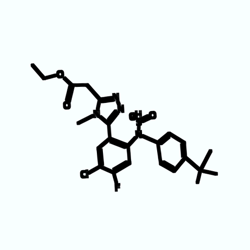 CCOC(=O)Cc1nnc(-c2cc(Cl)c(F)cc2N(c2ccc(C(C)(C)C)cc2)[SH](=O)=O)n1C